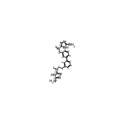 CN(CCc1cccc(-c2cccc(CN(C)c3nnc(N)[nH]3)c2)c1)c1nnc(N)[nH]1